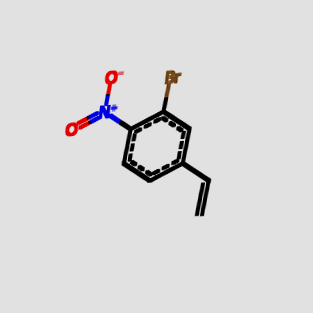 C=Cc1ccc([N+](=O)[O-])c(Br)c1